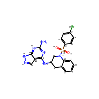 Nc1nc(NC2Cc3ccccc3N(S(=O)(=O)c3ccc(Br)cc3)C2)c2cn[nH]c2n1